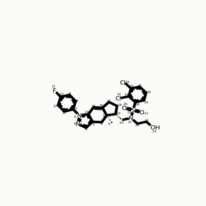 C[C@]12Cc3cnn(-c4ccc(F)cc4)c3C=C1CC[C@@H]2CN(CCO)S(=O)(=O)c1cccc(Cl)c1Cl